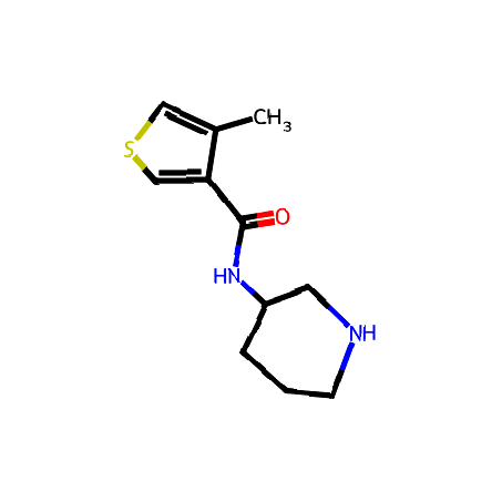 Cc1cscc1C(=O)NC1CCCNC1